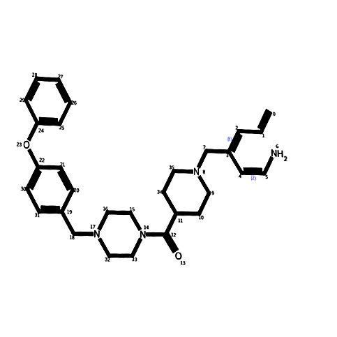 C=C/C=C(\C=C/N)CN1CCC(C(=O)N2CCN(Cc3ccc(Oc4ccccc4)cc3)CC2)CC1